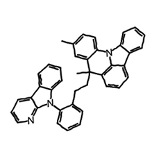 Cc1ccc2c(c1)C(C)(CCc1ccccc1-n1c3ccccc3c3cccnc31)c1cccc3c4ccccc4n-2c13